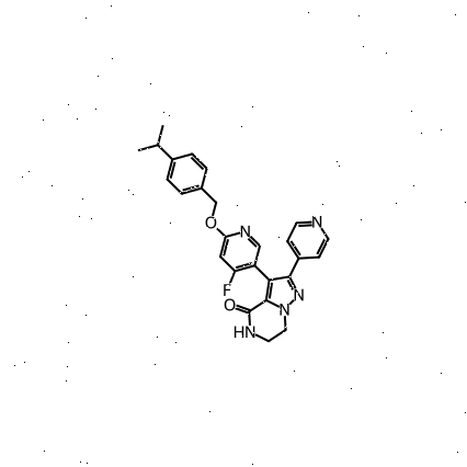 CC(C)c1ccc(COc2cc(F)c(-c3c(-c4ccncc4)nn4c3C(=O)NCC4)cn2)cc1